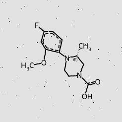 COc1cc(F)ccc1N1CCN(C(=O)O)C[C@H]1C